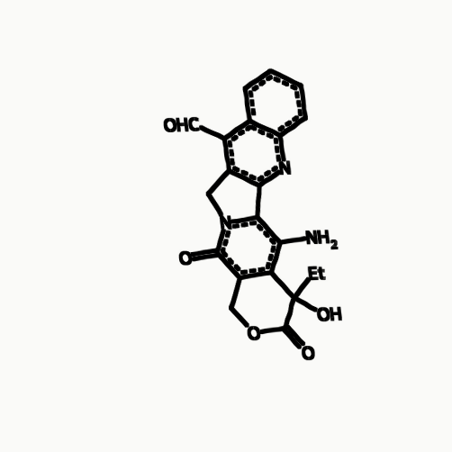 CCC1(O)C(=O)OCc2c1c(N)c1n(c2=O)Cc2c-1nc1ccccc1c2C=O